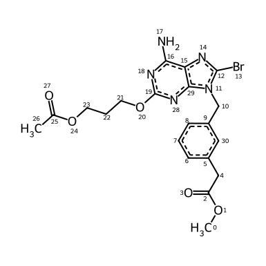 COC(=O)Cc1cccc(Cn2c(Br)nc3c(N)nc(OCCCOC(C)=O)nc32)c1